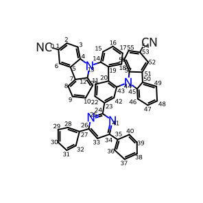 N#Cc1ccc2c(c1)c1ccccc1n2-c1ccccc1-c1ccc(-c2nc(-c3ccccc3)cc(-c3ccccc3)n2)cc1-n1c2ccccc2c2cc(C#N)ccc21